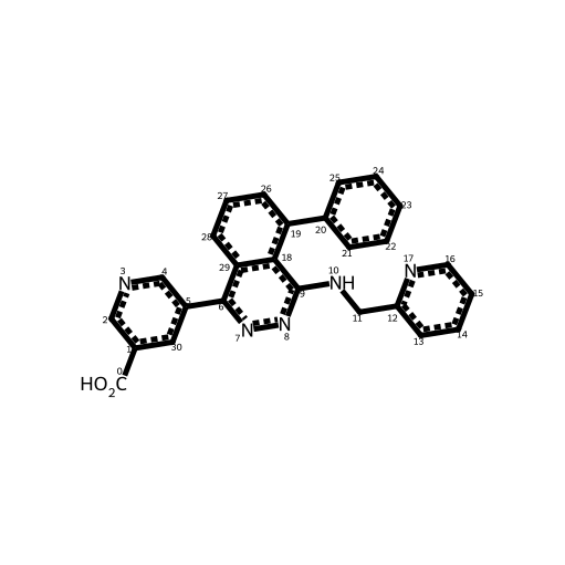 O=C(O)c1cncc(-c2nnc(NCc3ccccn3)c3c(-c4ccccc4)cccc23)c1